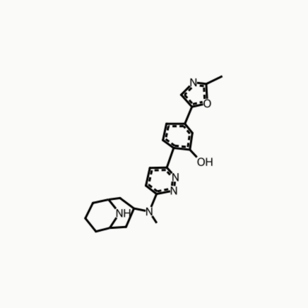 Cc1ncc(-c2ccc(-c3ccc(N(C)C4CC5CCCC(C4)N5)nn3)c(O)c2)o1